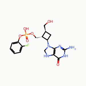 Nc1nc2c(c(=O)[nH]1)NCN2[C@@H]1C[C@H](CO)[C@H]1COP(=O)(O)Oc1ccccc1F